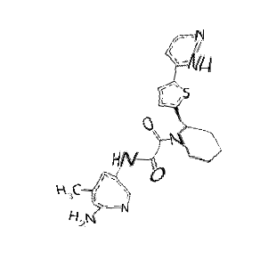 Cc1cc(NC(=O)C(=O)N2CCCC[C@@H]2c2ccc(-c3ccn[nH]3)s2)cnc1N